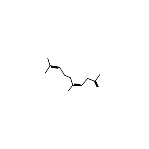 CCC(=O)CC=C(C)CCC=C(C)C